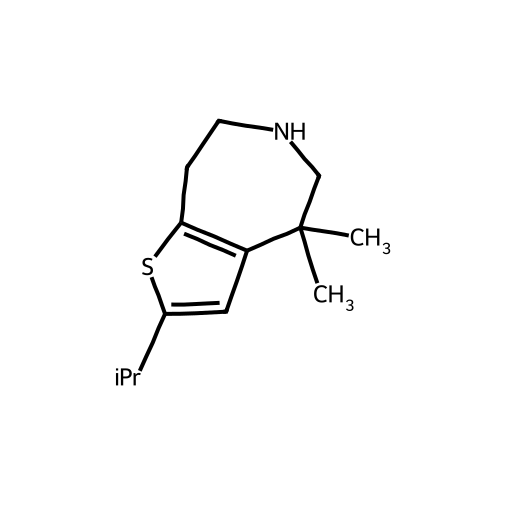 CC(C)c1cc2c(s1)CCNCC2(C)C